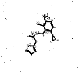 C=C(Cc1cccs1)NCc1c(C2CC2)ccc(N)c1C